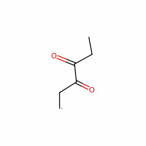 [CH2]CC(=O)C(=O)CC